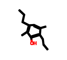 CCCc1cc(C)c(CCC)c(O)c1C